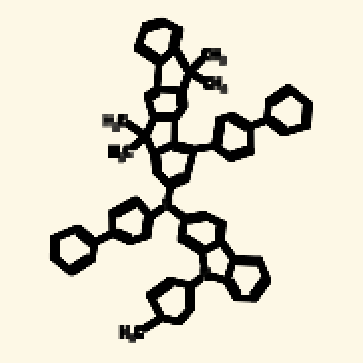 CC1C=CC(n2c3ccccc3c3ccc(N(c4ccc(-c5ccccc5)cc4)c4cc(-c5ccc(-c6ccccc6)cc5)c5c(c4)C(C)(C)c4cc6c(cc4-5)C(C)(C)c4ccccc4-6)cc32)=CC1